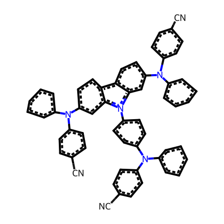 N#Cc1ccc(N(c2ccccc2)c2ccc(-n3c4cc(N(c5ccccc5)c5ccc(C#N)cc5)ccc4c4ccc(N(c5ccccc5)c5ccc(C#N)cc5)cc43)cc2)cc1